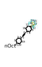 CCCCCCCCc1ccc(C#Cc2ccc(S(F)(F)(F)(F)F)cc2)cc1